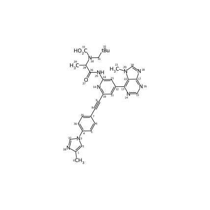 Cc1cn(-c2ccc(C#Cc3cc(-c4ncnc5ncn(C)c45)cc(NC(=O)C(C)N(CC(C)(C)C)C(=O)O)n3)cc2)cn1